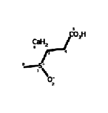 C[S+]([O-])CCC(=O)O.[CaH2]